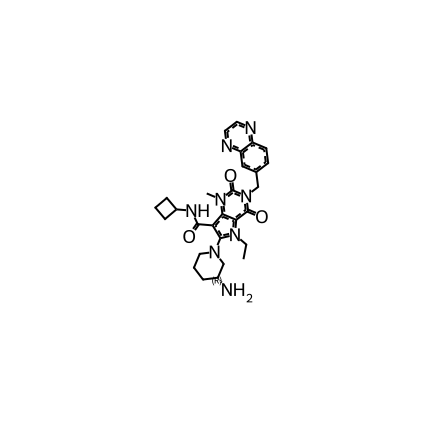 CCn1c(N2CCC[C@@H](N)C2)c(C(=O)NC2CCC2)c2c1c(=O)n(Cc1ccc3nccnc3c1)c(=O)n2C